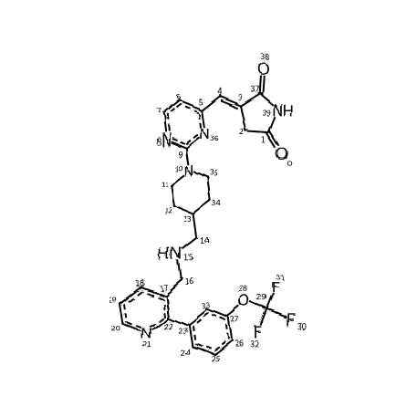 O=C1C/C(=C\c2ccnc(N3CCC(CNCc4cccnc4-c4cccc(OC(F)(F)F)c4)CC3)n2)C(=O)N1